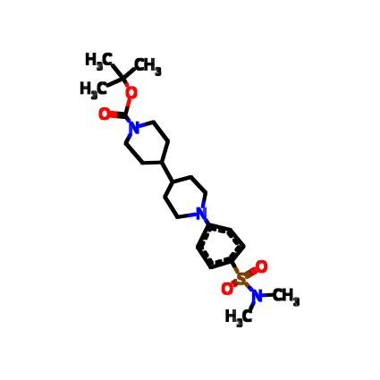 CN(C)S(=O)(=O)c1ccc(N2CCC(C3CCN(C(=O)OC(C)(C)C)CC3)CC2)cc1